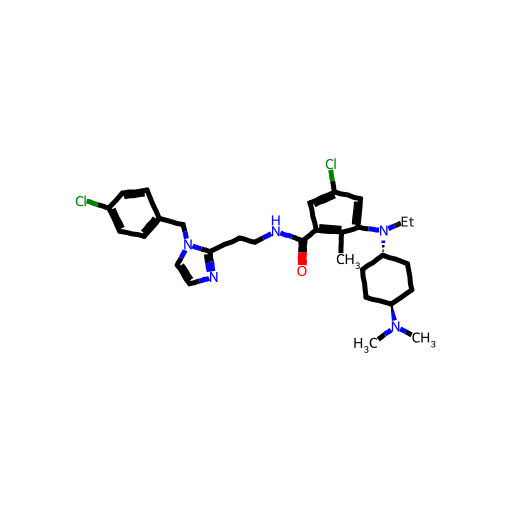 CCN(c1cc(Cl)cc(C(=O)NCCc2nccn2Cc2ccc(Cl)cc2)c1C)[C@H]1CC[C@H](N(C)C)CC1